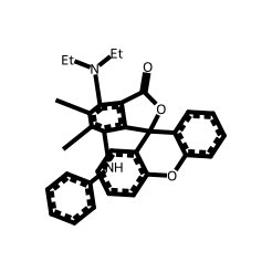 CCN(CC)c1c(C)c(C)c(Nc2ccccc2)c2c1C(=O)OC21c2ccccc2Oc2ccccc21